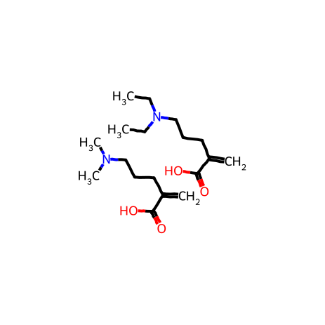 C=C(CCCN(C)C)C(=O)O.C=C(CCCN(CC)CC)C(=O)O